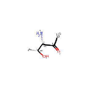 [Li][C](=O)[C@@H](N)[C@@H](C)O